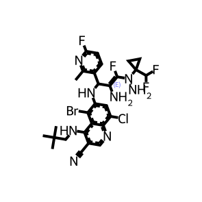 Cc1nc(F)ccc1C(Nc1cc(Cl)c2ncc(C#N)c(NCC(C)(C)C)c2c1Br)/C(N)=C(\F)N(N)C1(C(F)F)CC1